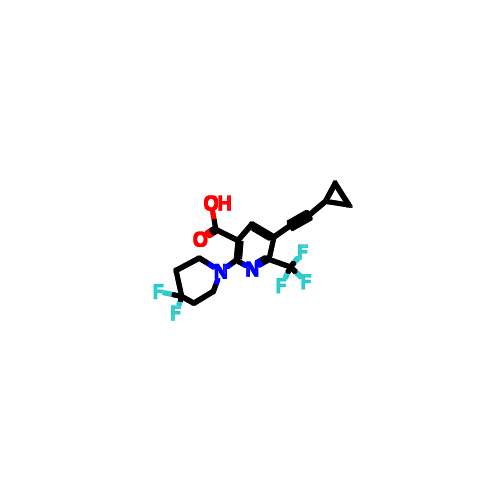 O=C(O)c1cc(C#CC2CC2)c(C(F)(F)F)nc1N1CCC(F)(F)CC1